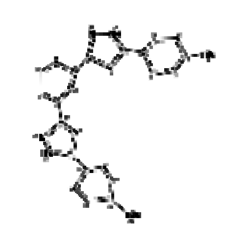 CCCCc1ccc(-c2cc(-c3cccc(-c4cc(-c5ccc(CCCC)cc5)[nH]n4)c3)n[nH]2)cc1